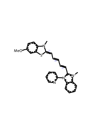 COc1ccc2c(c1)S\C(=C/C=C/C=C/c1n(-c3ccccn3)c3ccccc3[n+]1C)N2C